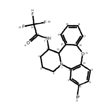 O=C(NC1CCCN2c3cc(Br)ccc3Oc3ccccc3C12)C(F)(F)F